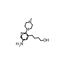 CN1CCN(c2ncc(N)cc2CCCCO)CC1